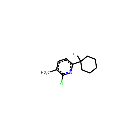 CC1(c2ccc(C(=O)O)c(Cl)n2)CCCCC1